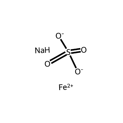 O=S(=O)([O-])[O-].[Fe+2].[NaH]